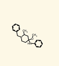 COC1(Nc2ccccc2)CCN(Cc2ccccc2)C(C)C1